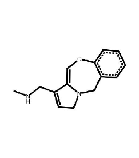 CNCC1=CCN2Cc3ccccc3OC=C12